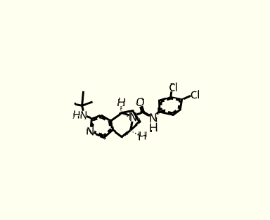 CC(C)(C)Nc1cc2c(cn1)C[C@@H]1CC[C@H]2N1C(=O)Nc1ccc(Cl)c(Cl)c1